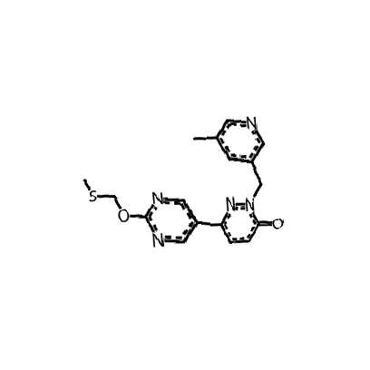 CSCOc1ncc(-c2ccc(=O)n(Cc3cncc(C)c3)n2)cn1